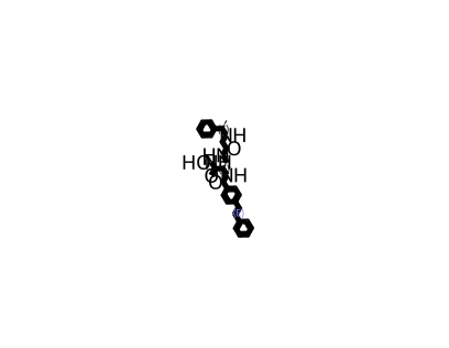 C[C@H](NCC(=O)NC[C@H](NC(=O)c1ccc(/C=C/c2ccccc2)cc1)C(=O)NO)c1ccccc1